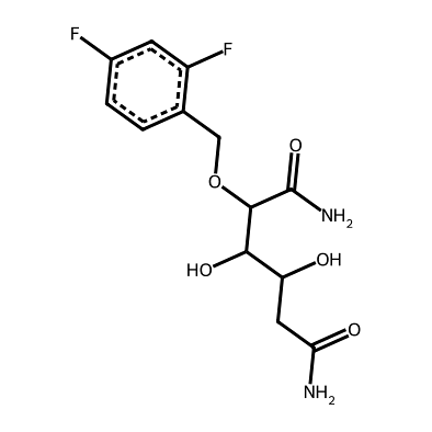 NC(=O)CC(O)C(O)C(OCc1ccc(F)cc1F)C(N)=O